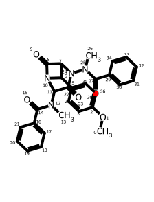 COc1ccc(C2C3C(=O)N2C(N(C)C(=O)c2ccccc2)C(=O)N3N(C)C(=O)c2ccccc2)cc1